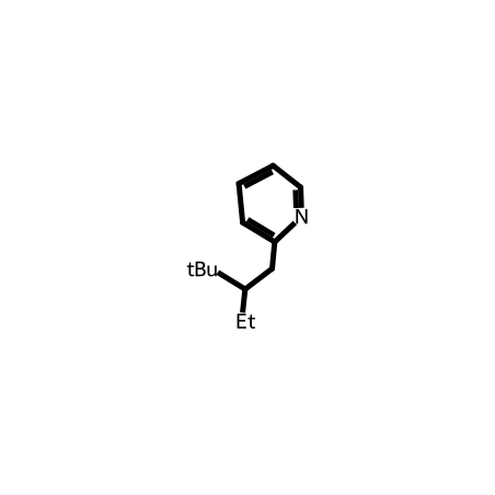 CCC(Cc1ccccn1)C(C)(C)C